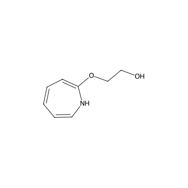 OCCOC1=CC=CC=CN1